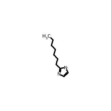 CCCCCCCC1=NC=C[N]1